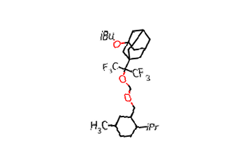 CCC(C)OC12CC3CC(C1)CC(C(OCOCC1CC(C)CCC1C(C)C)(C(F)(F)F)C(F)(F)F)(C3)C2